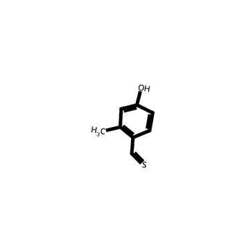 Cc1cc(O)ccc1C=S